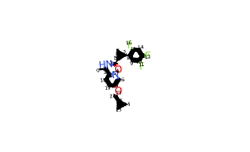 C[C@@H](NC(=O)[C@@H]1C[C@H]1c1cc(F)c(F)cc1F)c1ccc(OCC2CC2)cn1